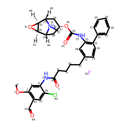 COc1cc(NC(=O)CCCCc2ccc(-c3ccccc3)c(NC(=O)O[C@@H]3C[C@@H]4[C@H]5O[C@H]5[C@H](C3)[N+]4(C)C)c2)c(Cl)cc1C=O.[I-]